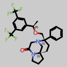 C[C@@H](OC[C@@]1(c2ccccc2)CC[C@]23CCCN2C(=O)CN1C3)c1cc(C(F)(F)F)cc(C(F)(F)F)c1